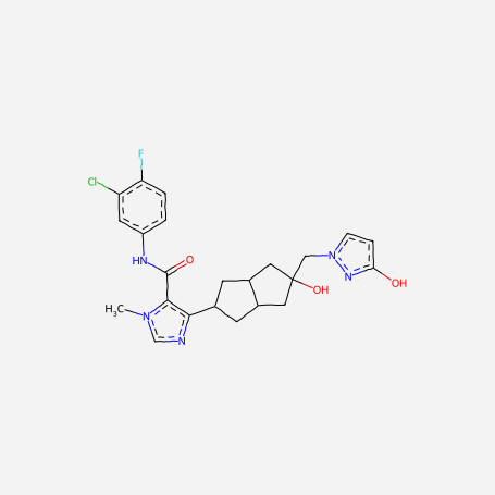 Cn1cnc(C2CC3CC(O)(Cn4ccc(O)n4)CC3C2)c1C(=O)Nc1ccc(F)c(Cl)c1